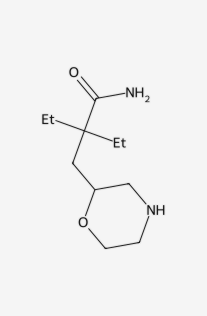 CCC(CC)(CC1CNCCO1)C(N)=O